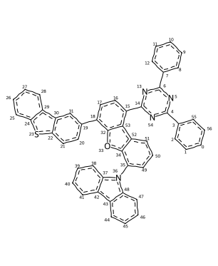 c1ccc(-c2nc(-c3ccccc3)nc(-c3ccc(-c4ccc5sc6ccccc6c5c4)c4oc5c(-n6c7ccccc7c7ccccc76)cccc5c34)n2)cc1